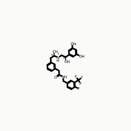 C[C@H](Cc1cccc(CC(=O)NCc2ccc(F)c(C(F)(F)F)c2)c1)NC[C@H](O)c1cc(O)cc(O)c1